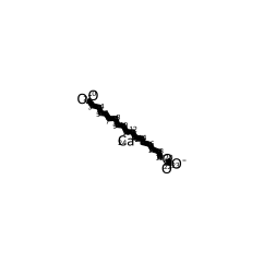 O=C([O-])CCCCCCCCCCCCCCCCCOC(=O)[O-].[Ca+2]